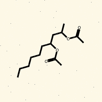 CCCCCCC(CC(C)OC(C)=O)OC(C)=O